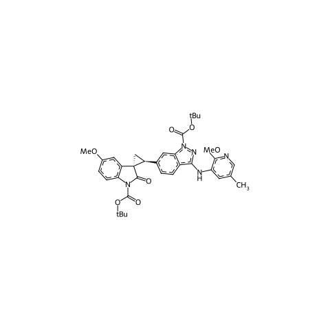 COc1ccc2c(c1)[C@]1(C[C@H]1c1ccc3c(Nc4cc(C)cnc4OC)nn(C(=O)OC(C)(C)C)c3c1)C(=O)N2C(=O)OC(C)(C)C